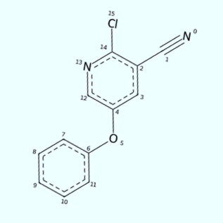 N#Cc1cc(Oc2ccccc2)cnc1Cl